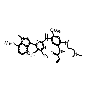 C=CC(=O)Nc1cc(Nc2nc(-c3cn(C)c4c(OC)cccc34)c(C(=O)O)c(C(C)C)n2)c(OC)cc1N(C)CCN(C)C